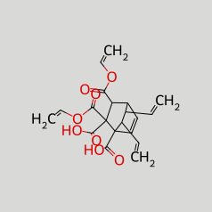 C=COC(=O)C1C2C=CC(C(=O)O)(C(C=C)C2C=C)C1(C(=O)O)C(=O)OC=C